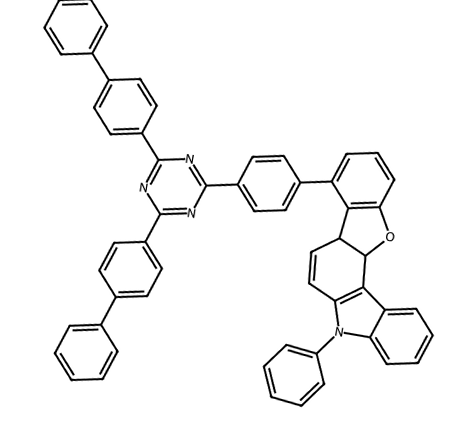 C1=CC2c3c(cccc3-c3ccc(-c4nc(-c5ccc(-c6ccccc6)cc5)nc(-c5ccc(-c6ccccc6)cc5)n4)cc3)OC2c2c1n(-c1ccccc1)c1ccccc21